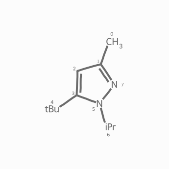 Cc1cc(C(C)(C)C)n(C(C)C)n1